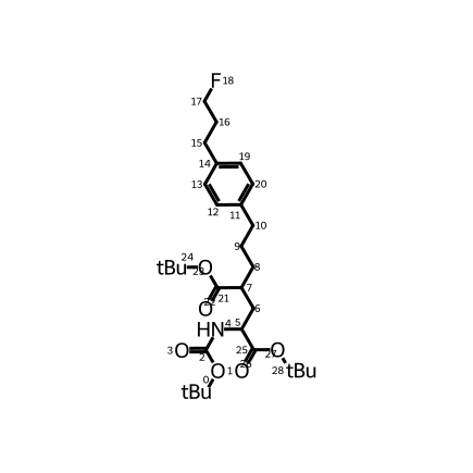 CC(C)(C)OC(=O)NC(CC(CCCc1ccc(CCCF)cc1)C(=O)OC(C)(C)C)C(=O)OC(C)(C)C